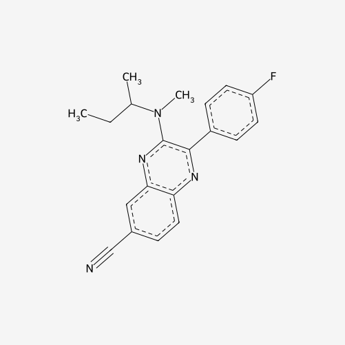 CCC(C)N(C)c1nc2cc(C#N)ccc2nc1-c1ccc(F)cc1